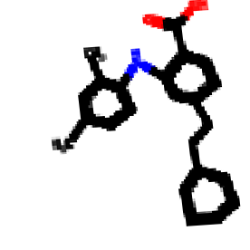 Cc1ccc(Nc2cc(CCc3ccccc3)ccc2C(=O)O)c(C)c1